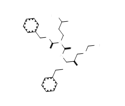 CCOCC(=O)[C@H](CCc1ccccc1)NC(=O)N(CCC(C)C)C(=O)OCc1ccccc1